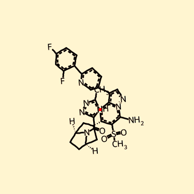 Cc1nnc(C(=O)N2[C@@H]3CC[C@H]2C[C@H](c2nc4c(-c5ccc(-c6ccc(F)cc6F)nc5)cnn4c(N)c2S(C)(=O)=O)C3)[nH]1